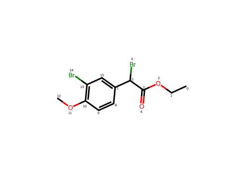 CCOC(=O)C(Br)c1ccc(OC)c(Br)c1